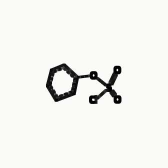 O=S(=O)(Cl)Oc1ccccc1